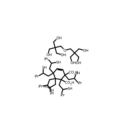 CC(C)C(S)CC1(CC(S)C(C)C)C=CC(CC(S)C(C)C)(C(=O)O)C(CC(S)C(C)C)(C(=O)O)C1(CC(S)C(C)C)CC(S)C(C)C.OCC(CO)(CO)COCC(CO)(CO)CO